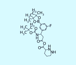 CC(C)(C)OC(=O)NC(CC(=O)OC(=O)C1CCCNN1)c1cc(F)cc(B2OC(C)(C)C(C)(C)O2)c1